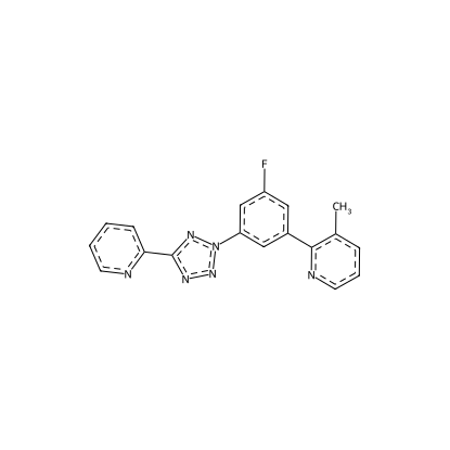 Cc1cccnc1-c1cc(F)cc(-n2nnc(-c3ccccn3)n2)c1